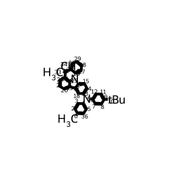 Cc1ccc(N(c2ccc(C(C)(C)C)cc2)c2ccc3c(c2)c2cccc4c2n3-c2ccccc2C4(C)C)cc1